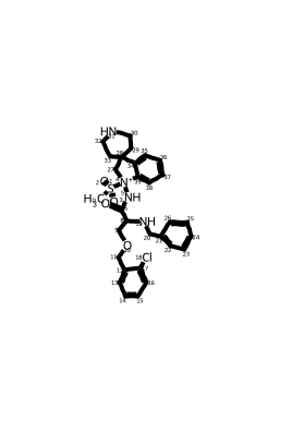 CS(=O)(=O)[N+]1(NC(=O)C(COCc2ccccc2Cl)NCc2ccccc2)CC2(CCNCC2)c2ccccc21